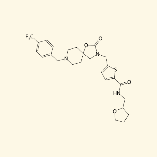 O=C(NCC1CCCO1)c1ccc(CN2CC3(CCN(Cc4ccc(C(F)(F)F)cc4)CC3)OC2=O)s1